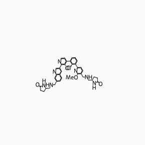 COc1nc(-c2cccc(-c3ccnc(-c4cnc5cc(CNCC6CCC(=O)N6)ccc5c4)c3Cl)c2Cl)ccc1CNCC1CCC(=O)N1